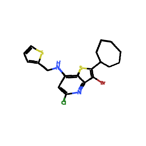 Clc1cc(NCc2cccs2)c2sc(C3CCCCCC3)c(Br)c2n1